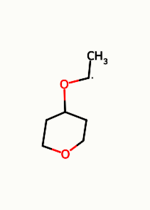 C[CH]OC1CCOCC1